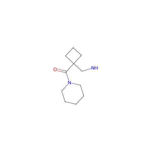 [NH]CC1(C(=O)N2CCCCC2)CCC1